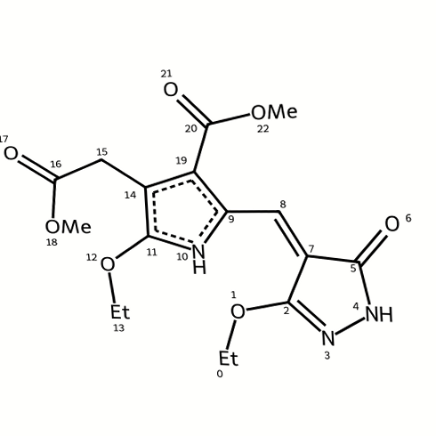 CCOC1=NNC(=O)/C1=C/c1[nH]c(OCC)c(CC(=O)OC)c1C(=O)OC